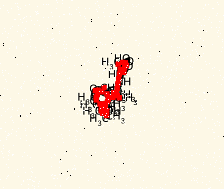 CC[C@@H]1OC(=O)[C@H](C)[C@H](O[C@@H]2C[C@](C)(OC)[C@H](OCCCNCCNc3nc4c(cc3F)c(=O)c(C(=O)O)cn4CC)[C@H](C)O2)[C@@H](C)[C@H](O[C@H]2O[C@@H](C)C[C@@H](N(C)C)[C@H]2O)[C@](C)(OC)C[C@H](C)C(=O)C(C)[C@H]2OC(=O)O[C@@]12C